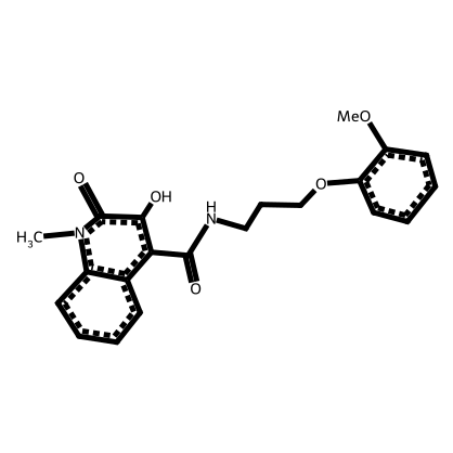 COc1ccccc1OCCCNC(=O)c1c(O)c(=O)n(C)c2ccccc12